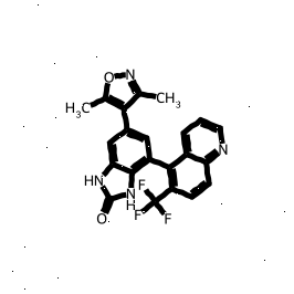 Cc1noc(C)c1-c1cc(-c2c(C(F)(F)F)ccc3ncccc23)c2[nH]c(=O)[nH]c2c1